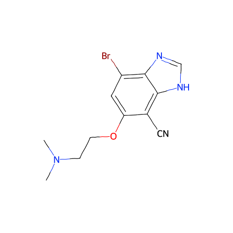 CN(C)CCOc1cc(Br)c2nc[nH]c2c1C#N